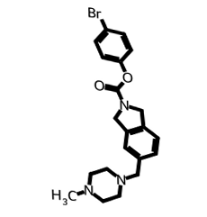 CN1CCN(Cc2ccc3c(c2)CN(C(=O)Oc2ccc(Br)cc2)C3)CC1